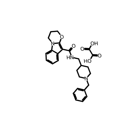 O=C(NCC1CCN(Cc2ccccc2)CC1)c1c2n(c3ccccc13)CCCO2.O=C(O)C(=O)O